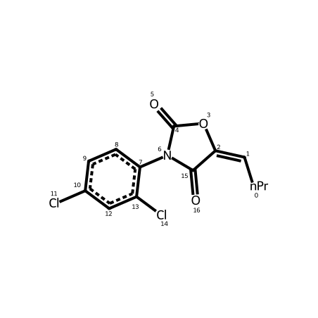 CCCC=C1OC(=O)N(c2ccc(Cl)cc2Cl)C1=O